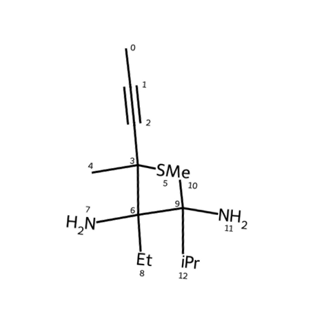 CC#CC(C)(SC)C(N)(CC)C(C)(N)C(C)C